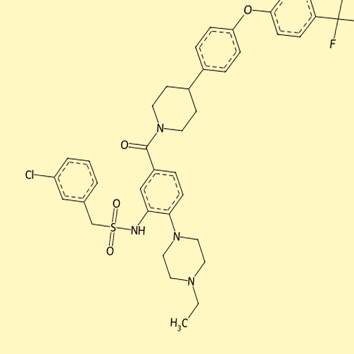 CCN1CCN(c2ccc(C(=O)N3CCC(c4ccc(Oc5ccc(C(F)(F)F)nc5)cc4)CC3)cc2NS(=O)(=O)Cc2cccc(Cl)c2)CC1